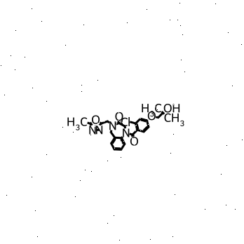 Cc1nnc(CN2Cc3ccccc3N(C(=O)c3ccc(OCC(C)(C)O)cc3Cl)CC2=O)o1